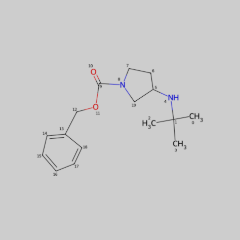 CC(C)(C)NC1CCN(C(=O)OCc2ccccc2)C1